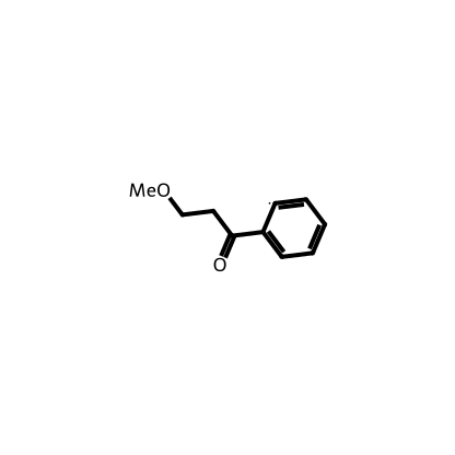 COCCC(=O)c1[c]cccc1